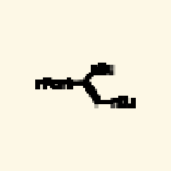 CCCC/[C]=C(\CCCC)CCCCC